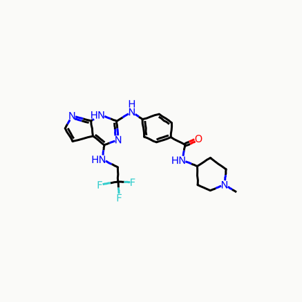 CN1CCC(NC(=O)c2ccc(Nc3nc(NCC(F)(F)F)c4ccnc-4[nH]3)cc2)CC1